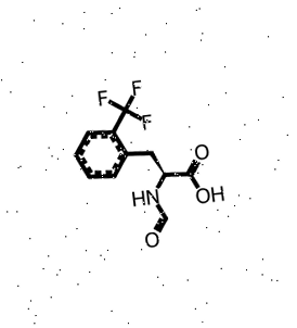 O=CN[C@@H](Cc1ccccc1C(F)(F)F)C(=O)O